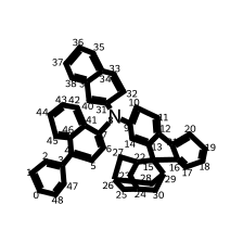 c1ccc(-c2ccc(N(c3ccc4c(c3)C3(c5ccccc5-4)C4CC5CC(C4)CC3C5)c3ccc4ccccc4c3)c3ccccc23)cc1